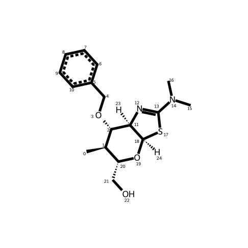 C[C@H]1[C@H](OCc2ccccc2)[C@H]2N=C(N(C)C)S[C@H]2O[C@@H]1CO